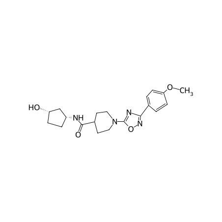 COc1ccc(-c2noc(N3CCC(C(=O)N[C@@H]4CC[C@H](O)C4)CC3)n2)cc1